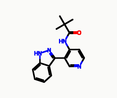 CC(C)(C)C(=O)Nc1ccncc1-c1n[nH]c2ccccc12